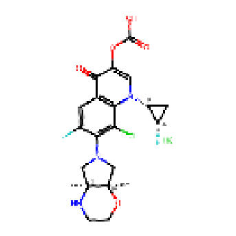 Cl.O=C(O)Oc1cn([C@@H]2C[C@@H]2F)c2c(Cl)c(N3C[C@@H]4NCCO[C@@H]4C3)c(F)cc2c1=O